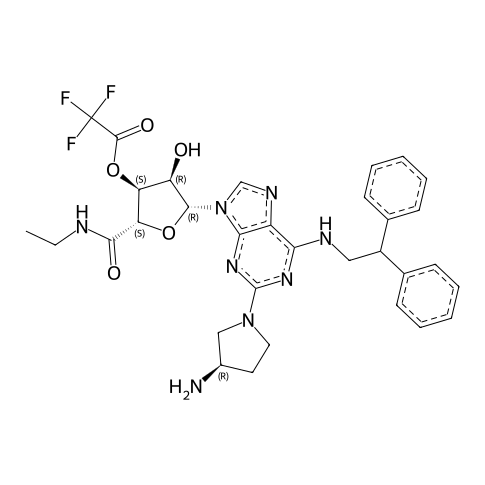 CCNC(=O)[C@H]1O[C@@H](n2cnc3c(NCC(c4ccccc4)c4ccccc4)nc(N4CC[C@@H](N)C4)nc32)[C@H](O)[C@@H]1OC(=O)C(F)(F)F